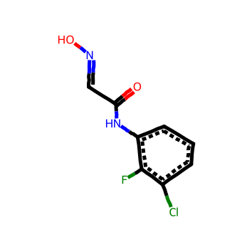 O=C(C=NO)Nc1cccc(Cl)c1F